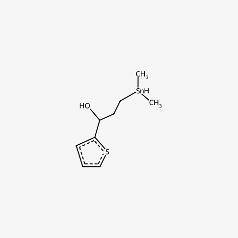 [CH3][SnH]([CH3])[CH2]CC(O)c1cccs1